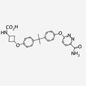 CC(C)(c1ccc(Oc2ccc(C(N)=O)nn2)cc1)c1ccc(OC2CC(NC(=O)O)C2)cc1